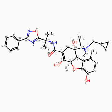 Cc1ccc(O)c2c1[C@]13CCN(CC4CC4)[C@H](C)[C@]1(O)CC(C(=O)NC(C)(C)c1nc(-c4ccccc4)no1)=C(O)[C@@H]3O2